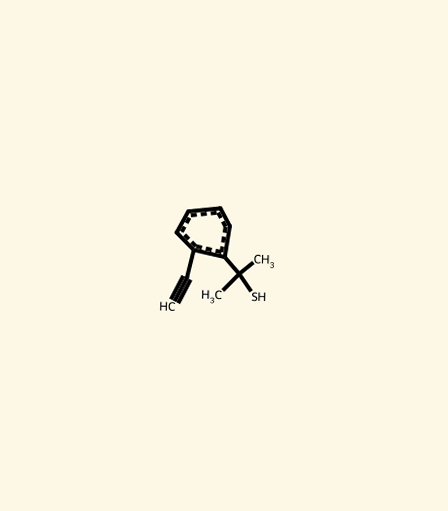 C#Cc1ccccc1C(C)(C)S